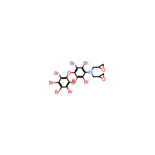 Brc1c(Br)c(Br)c(Oc2c(Br)c(Br)c(N(CC3CO3)CC3CO3)c(Br)c2Br)c(Br)c1Br